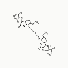 COc1ccc2c(Nc3c(Cl)cncc3Cl)cc(=O)oc2c1OCCCCCOc1c(OC)ccc2c(Nc3c(Cl)cncc3Cl)cc(=O)oc12